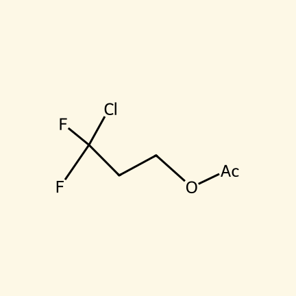 CC(=O)OCCC(F)(F)Cl